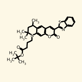 CC1CC(C)(C)N(CCCC(=O)OC(C)(C)C)c2cc3oc(=O)c(-c4nc5ccccc5s4)cc3cc21